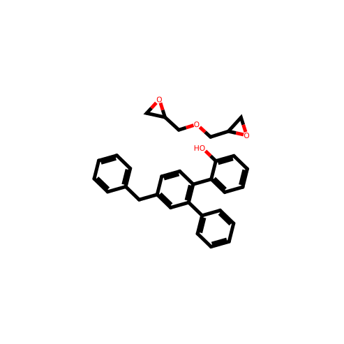 C(OCC1CO1)C1CO1.Oc1ccccc1-c1ccc(Cc2ccccc2)cc1-c1ccccc1